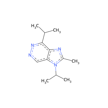 Cc1nc2c(C(C)C)nncc2n1C(C)C